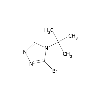 CC(C)(C)n1cnnc1Br